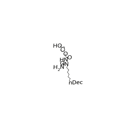 CCCCCCCCCCCCCCCCCCN(CNC(=O)COc1ccc(O)cc1)C(N)=O